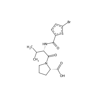 CC(C)[C@H](NC(=O)c1ccc(Br)s1)C(=O)N1CCC[C@H]1C(=O)O